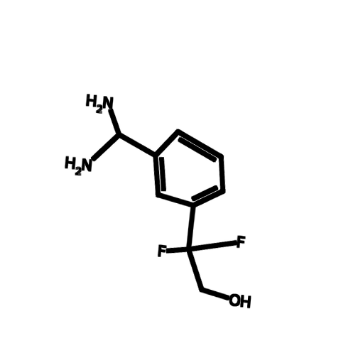 NC(N)c1cccc(C(F)(F)CO)c1